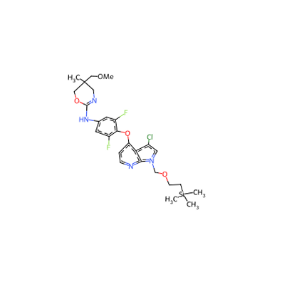 COCC1(C)CN=C(Nc2cc(F)c(Oc3ccnc4c3c(Cl)cn4COCC[Si](C)(C)C)c(F)c2)OC1